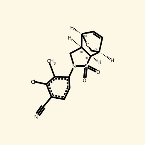 Cc1c(N2C[C@@H]3[C@@H]([C@@H]4C=C[C@H]3CC4)S2(=O)=O)ccc(C#N)c1Cl